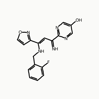 N=C(/C=C(\NCc1ccccc1F)c1ccon1)c1ncc(O)cn1